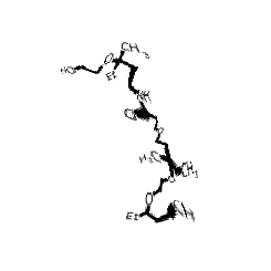 C#CCC(CC)OCCOC(C)(C)CCOCCC(=O)NCCC(C)(CC)OCCO